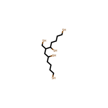 SCCCCC(S)CC(CS)C(S)CCCCS